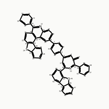 C=C1C=C(c2ccc(-c3ccc4nc(-c5ccccc5)c5ccc6sc7ccccc7c6c5c4c3)cc2)C=C(c2cccc3c2oc2ccccc23)N=C1c1ccccc1